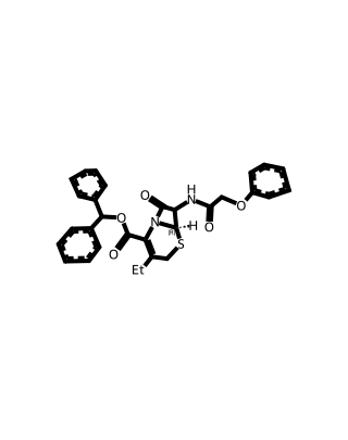 CCC1=C(C(=O)OC(c2ccccc2)c2ccccc2)N2C(=O)C(NC(=O)COc3ccccc3)[C@H]2SC1